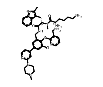 Cc1[nH]c2ccccc2c1C[C@@H](C(=O)NCc1cc(-c2ccnc(N3CCN(C)CC3)c2)cc(Cl)c1Sc1ncccc1CN)N(C)C(=O)[C@@H](N)CCCCN